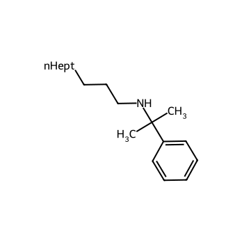 CCCCCCCCCCNC(C)(C)c1ccccc1